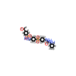 CC(=O)c1ccc(S(=O)(=O)Nc2ccc(S(=O)(=O)c3ccc(NC(=O)Nc4ccccc4)cc3)cc2)cc1